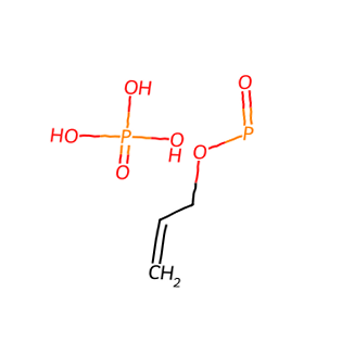 C=CCOP=O.O=P(O)(O)O